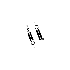 C=O.O=S